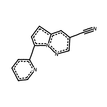 N#Cc1cnn2c(-c3ccccn3)ccc2c1